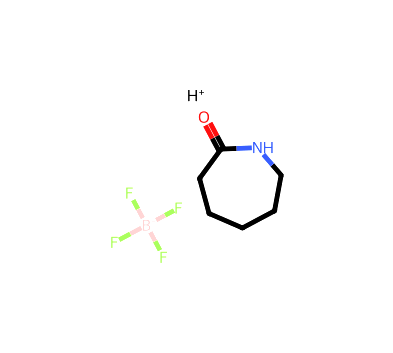 F[B-](F)(F)F.O=C1CCCCCN1.[H+]